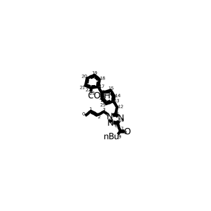 CC=CCn1nc(C(=O)CCCC)nc1Cc1ccc(-c2ccccc2C(=O)O)cc1